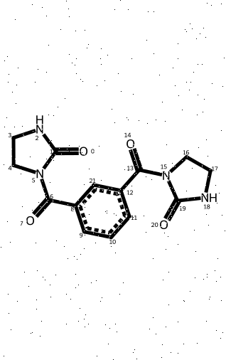 O=C1NCCN1C(=O)c1cccc(C(=O)N2CCNC2=O)c1